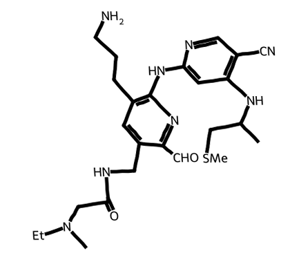 CCN(C)CC(=O)NCc1cc(CCCN)c(Nc2cc(NC(C)CSC)c(C#N)cn2)nc1C=O